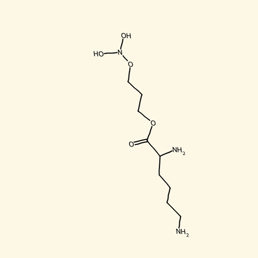 NCCCCC(N)C(=O)OCCCON(O)O